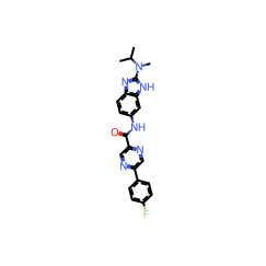 CC(C)N(C)c1nc2ccc(NC(=O)c3cnc(-c4ccc(F)cc4)cn3)cc2[nH]1